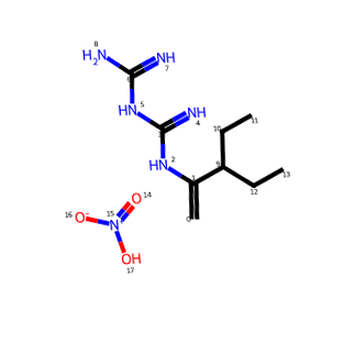 C=C(NC(=N)NC(=N)N)C(CC)CC.O=[N+]([O-])O